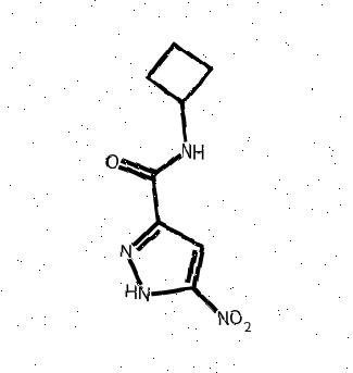 O=C(NC1CCC1)c1cc([N+](=O)[O-])[nH]n1